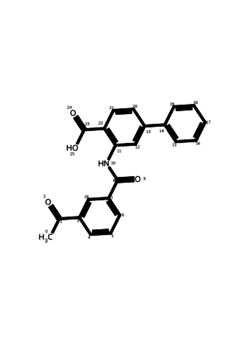 CC(=O)c1cccc(C(=O)Nc2cc(-c3ccccc3)ccc2C(=O)O)c1